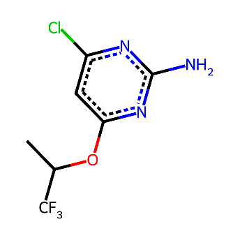 CC(Oc1cc(Cl)nc(N)n1)C(F)(F)F